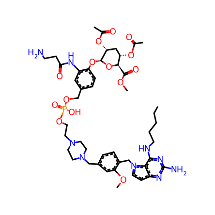 CCCCCNc1nc(N)nc2ccn(Cc3ccc(CN4CCN(CCOP(=O)(O)OCc5ccc(O[C@@H]6O[C@H](C(=O)OC)[C@@H](OC(C)=O)C[C@H]6OC(C)=O)c(NC(=O)CCN)c5)CC4)cc3OC)c12